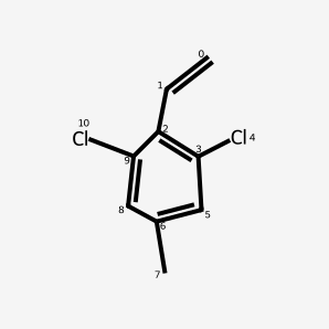 C=Cc1c(Cl)cc(C)cc1Cl